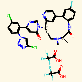 C[C@H]1C(=O)Nc2ccc(F)cc2-c2ccnc(c2)[C@@H](n2cnc(-c3cc(Cl)ccc3-n3cc(Cl)nn3)cc2=O)CCN1C.O=C(O)C(F)(F)F.O=C(O)C(F)(F)F